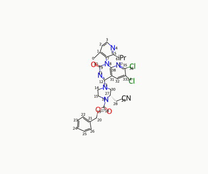 Cc1ccnc(C(C)C)c1-n1c(=O)nc(N2CCN(C(=O)OCc3ccccc3)[C@@H](CC#N)C2)c2cc(Cl)c(Cl)nc21